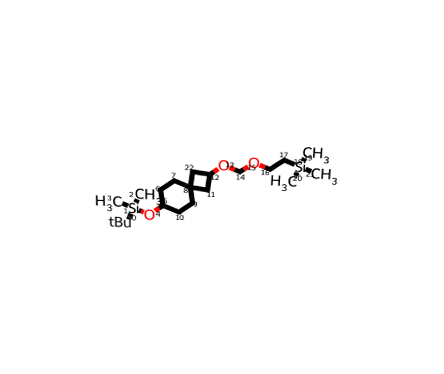 CC(C)(C)[Si](C)(C)OC1CCC2(CC1)CC(OCOCC[Si](C)(C)C)C2